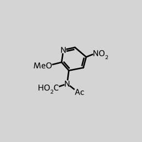 COc1ncc([N+](=O)[O-])cc1N(C(C)=O)C(=O)O